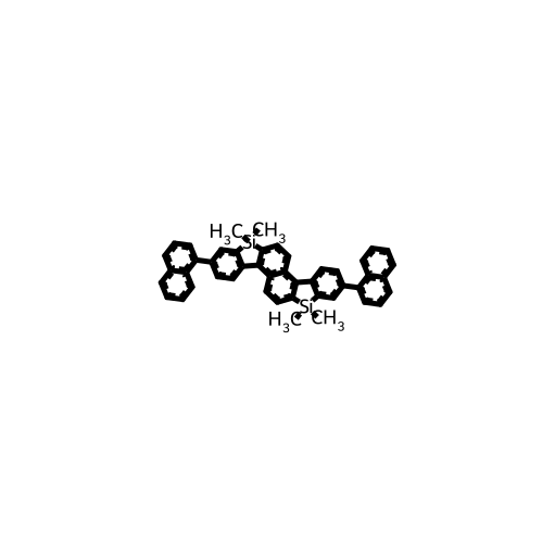 C[Si]1(C)c2cc(-c3cccc4ccccc34)ccc2-c2c1ccc1c3c(ccc21)[Si](C)(C)c1cc(-c2cccc4ccccc24)ccc1-3